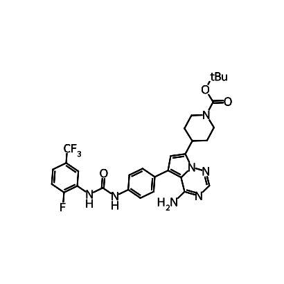 CC(C)(C)OC(=O)N1CCC(c2cc(-c3ccc(NC(=O)Nc4cc(C(F)(F)F)ccc4F)cc3)c3c(N)ncnn23)CC1